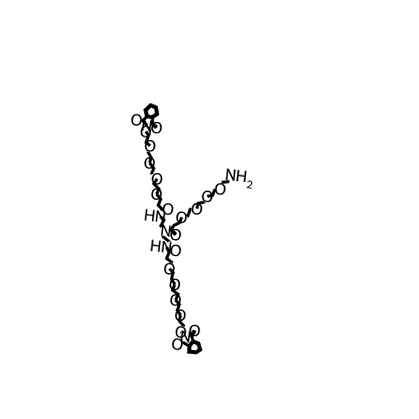 NCCOCCOCCOCCOCCC(=O)N(CCNC(=O)CCOCCOCCOCCOCCON1C(=O)c2ccccc2C1=O)CCNC(=O)CCOCCOCCOCCOCCON1C(=O)c2ccccc2C1=O